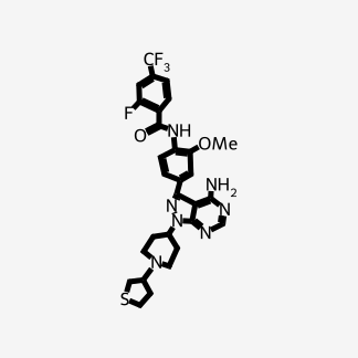 COc1cc(-c2nn(C3CCN(C4CCSC4)CC3)c3ncnc(N)c23)ccc1NC(=O)c1ccc(C(F)(F)F)cc1F